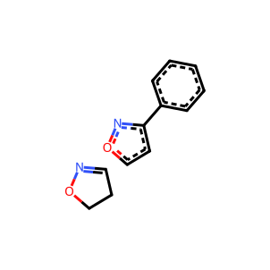 C1=NOCC1.c1ccc(-c2ccon2)cc1